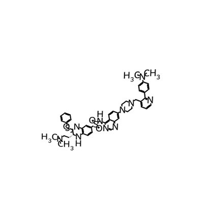 CN(C)CC[C@H](CSc1ccccc1)Nc1ccc(S(=O)(=O)Nc2ncnc3cc(N4CCN(Cc5cccnc5-c5ccc(N(C)C)cc5)CC4)ccc23)cc1[N+](=O)[O-]